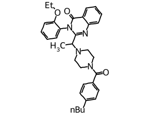 CCCCc1ccc(C(=O)N2CCN(C(C)c3nc4ccccc4c(=O)n3-c3ccccc3OCC)CC2)cc1